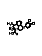 CN(C(=O)O)[C@H]1CC[C@@H](c2ccc(Cl)c(Cl)c2)c2cccc(C(N)=O)c21